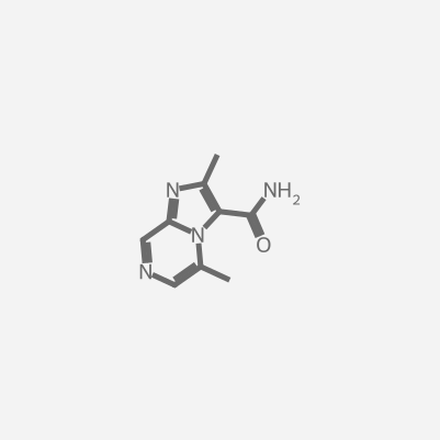 Cc1nc2cncc(C)n2c1C(N)=O